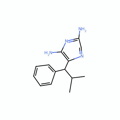 CC(C)C(c1ccccc1)c1ncc(N)nc1N